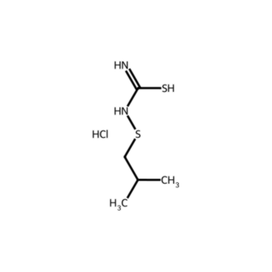 CC(C)CSNC(=N)S.Cl